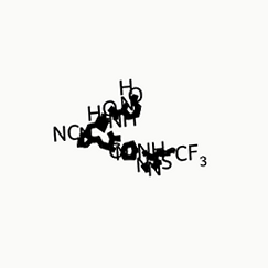 C=C(C)/C(=C\C=C1/CC=C(C#N)N1CC12CC(NC(=O)c3cccc(=O)[nH]3)(C1)[C@H]2C)CN1CCC(Nc2ncnc3sc(CC(F)(F)F)cc23)CC1